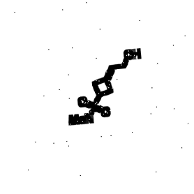 CNS(=O)(=O)C1CC(=CCO)C1